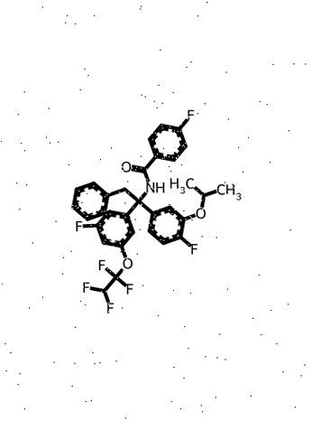 CC(C)Oc1cc(C(Cc2ccccc2)(NC(=O)c2ccc(F)cc2)c2cc(F)cc(OC(F)(F)C(F)F)c2)ccc1F